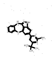 CC(C)(C)c1cc(-c2cc3c4c(n[nH]c4c2)Nc2ccccc2O3)nc(N)n1